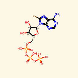 Nc1ncnc2c1nc(Br)n2[C@@H]1O[C@H](COP(=O)(O)OP(=O)(O)OP(=O)(O)O)[C@@H](O)[C@H]1O